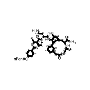 CCCCCOc1ccc(-c2nc(C)c(C(=O)N[C@@H](CCN)C(=O)Nc3c(C)cc4cc3-c3cccc(c3)CC(=O)NCC(=O)NC(C(N)=O)C4)c(C)n2)cc1